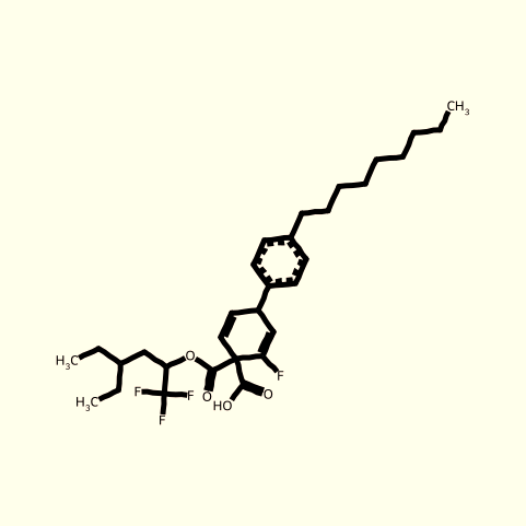 CCCCCCCCCc1ccc(C2C=CC(C(=O)O)(C(=O)OC(CC(CC)CC)C(F)(F)F)C(F)=C2)cc1